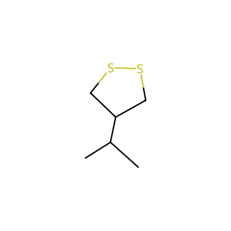 CC(C)C1CSSC1